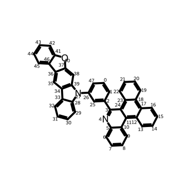 c1cc(-c2nc3ccccc3c3c4ccccc4c4ccccc4c23)cc(-n2c3ccccc3c3cc4c(cc32)oc2ccccc24)c1